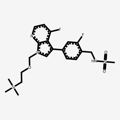 C[Si](C)(C)CCOCn1cc(-c2ccc(CNS(C)(=O)=O)c(F)c2)c2c(F)ccnc21